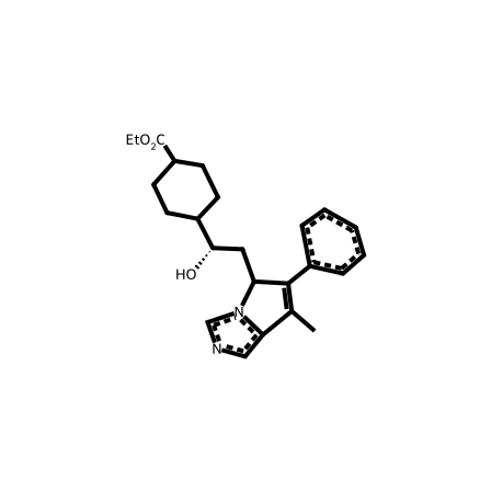 CCOC(=O)C1CCC([C@@H](O)CC2C(c3ccccc3)=C(C)c3cncn32)CC1